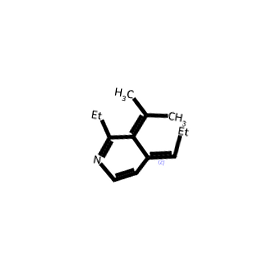 CC/C=c1/ccnc(CC)c1=C(C)C